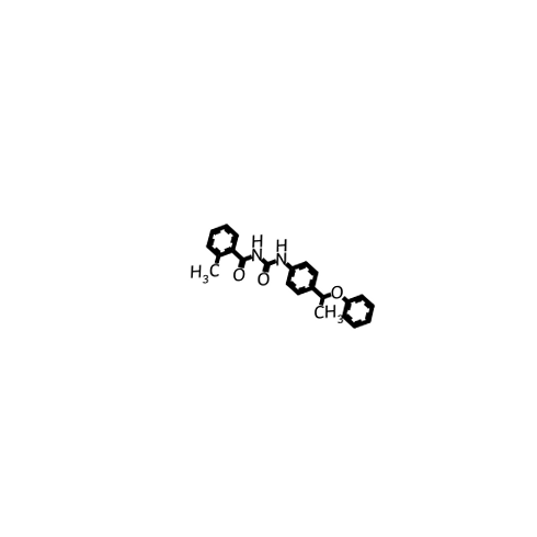 Cc1ccccc1C(=O)NC(=O)Nc1ccc(C(C)Oc2ccccc2)cc1